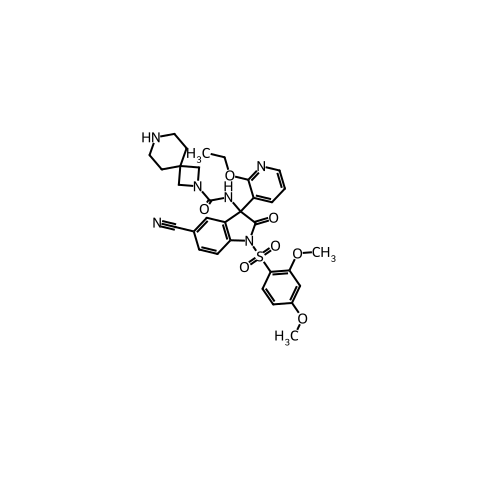 CCOc1ncccc1C1(NC(=O)N2CC3(CCNCC3)C2)C(=O)N(S(=O)(=O)c2ccc(OC)cc2OC)c2ccc(C#N)cc21